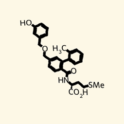 CSCC[C@H](NC(=O)c1ccc(COCc2cccc(O)c2)cc1-c1ccccc1C)C(=O)O